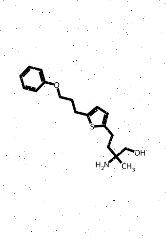 CC(N)(CO)CCc1ccc(CCCOc2ccccc2)s1